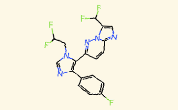 Fc1ccc(-c2ncn(CC(F)F)c2-c2ccc3ncc(C(F)F)n3n2)cc1